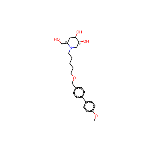 COc1ccc(-c2ccc(COCCCCCN3C[C@H](O)C(O)C[C@@H]3CO)cc2)cc1